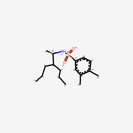 CCCC(CCC)[C@@H](C)NS(=O)(=O)c1ccc(C)c(C)c1